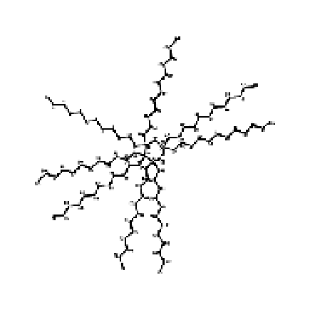 CCCCCCCCCCCCC1(CCCCCCCCCCCC)C[Si](CCCCCCCCCCCC)(CCCCCCCCCCCC)OC(CCCCCCCCCCCC)(CCCCCCCCCCCC)C1(CCCCCCCCCCCC)CCCCCCCCCCCC